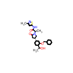 Cc1cc(NC(=O)[C@@H](C)N2C[C@H](c3ccc(C(C)O)c(OCc4ccccc4)c3)CC2=O)sn1